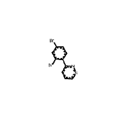 Brc1ccc(-c2cc[c]nn2)c(Br)c1